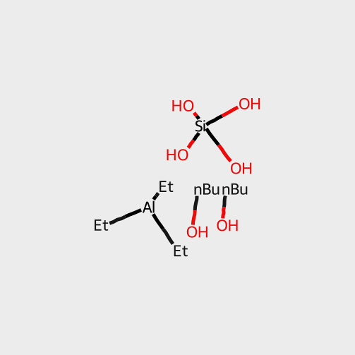 CCCCO.CCCCO.C[CH2][Al]([CH2]C)[CH2]C.O[Si](O)(O)O